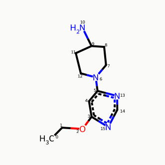 CCOc1cc(N2CCC(N)CC2)ncn1